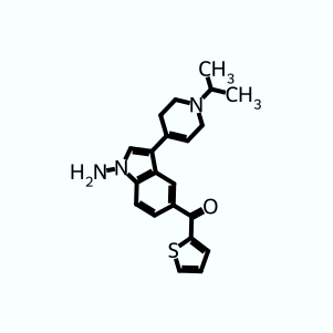 CC(C)N1CC=C(c2cn(N)c3ccc(C(=O)c4cccs4)cc23)CC1